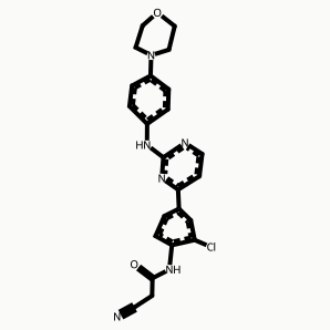 N#CCC(=O)Nc1ccc(-c2ccnc(Nc3ccc(N4CCOCC4)cc3)n2)cc1Cl